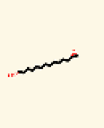 OCCCCCCCCCCCCC1CO1